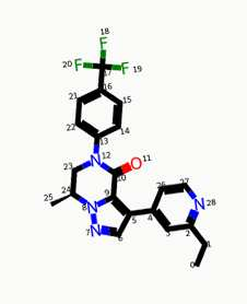 CCc1cc(-c2cnn3c2C(=O)N(c2ccc(C(F)(F)F)cc2)C[C@@H]3C)ccn1